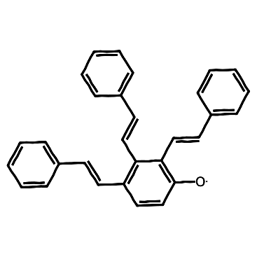 [O]c1ccc(C=Cc2ccccc2)c(C=Cc2ccccc2)c1C=Cc1ccccc1